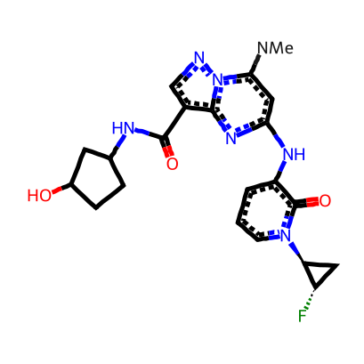 CNc1cc(Nc2cccn([C@H]3C[C@@H]3F)c2=O)nc2c(C(=O)NC3CCC(O)C3)cnn12